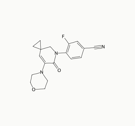 N#Cc1ccc(N2CC3(C=C(N4CCOCC4)C2=O)CC3)c(F)c1